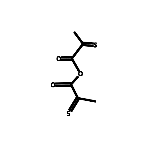 CC(=S)C(=O)OC(=O)C(C)=S